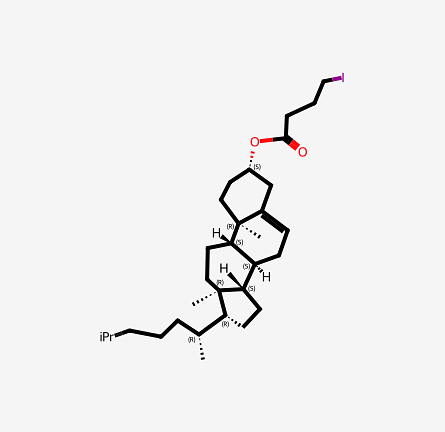 CC(C)CCC[C@@H](C)[C@H]1CC[C@H]2[C@@H]3CC=C4C[C@@H](OC(=O)CCCI)CC[C@]4(C)[C@H]3CC[C@]12C